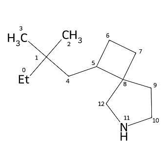 CCC(C)(C)CC1CCC12CCNC2